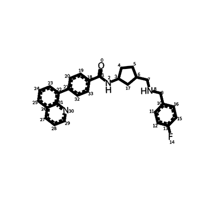 O=C(NC1CCC(CNCc2ccc(F)cc2)C1)c1ccc(-c2cccc3cccnc23)cc1